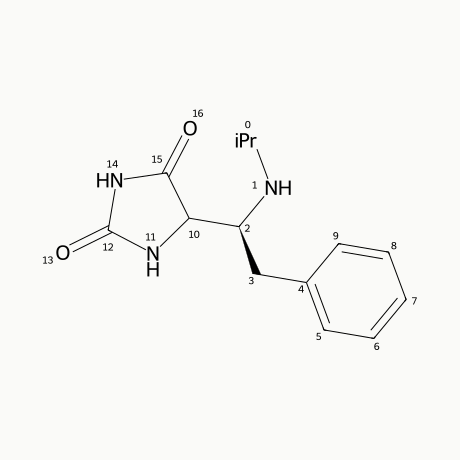 CC(C)N[C@@H](Cc1ccccc1)C1NC(=O)NC1=O